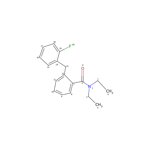 CCN(CC)C(=O)c1ccccc1Cc1ccccc1F